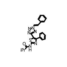 CC(C)C(=O)Nc1nc(-c2ccccc2)c(-c2nnn(C=Cc3ccccc3)n2)s1